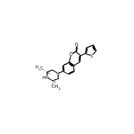 C[C@@H]1CN(c2ccc3cc(-c4cccs4)c(=O)oc3c2)C[C@H](C)N1